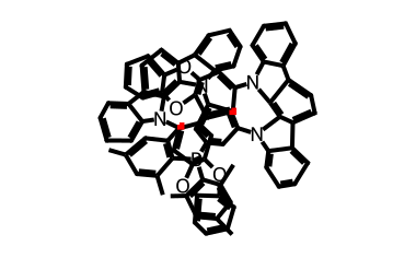 Cc1cc(C)c(B(c2cc(-n3c4ccccc4c4ccc5c6ccccc6n(-c6ccc7c(c6)Oc6ccccc6O7)c5c43)cc(-n3c4ccccc4c4ccc5c6ccccc6n(-c6ccc7c(c6)Oc6ccccc6O7)c5c43)c2)c2c(C)cc(C)cc2C)c(C)c1